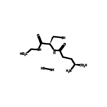 N[C@@H](CCC(=O)N[C@@H](CS)C(=O)NCC(=O)O)C(=O)O.SS